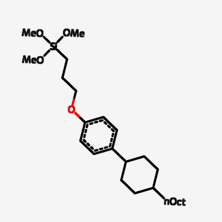 CCCCCCCCC1CCC(c2ccc(OCCC[Si](OC)(OC)OC)cc2)CC1